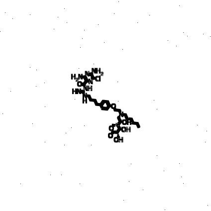 CCCCCCN(CCOc1ccc(CCCCNC(=N)NC(=O)c2nc(Cl)c(N)nc2N)cc1)C[C@@H](O)[C@@H](C=O)[C@@H](O)[C@@H](C=O)CO